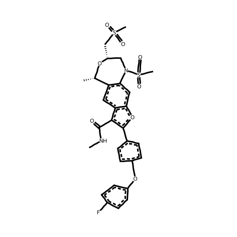 CNC(=O)c1c(-c2ccc(Oc3ccc(F)cc3)cc2)oc2cc3c(cc12)[C@H](C)O[C@H](CS(C)(=O)=O)CN3S(C)(=O)=O